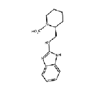 O=C(O)N1CCCC[C@H]1CNc1nc2ccccc2[nH]1